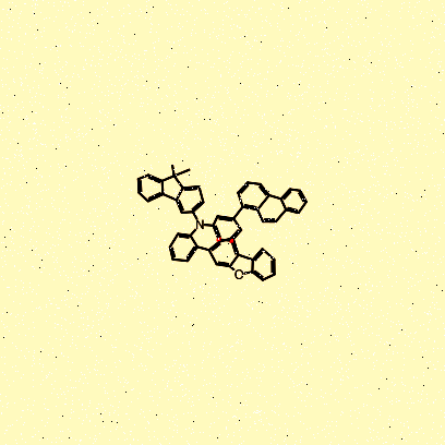 CC1(C)c2ccccc2-c2cc(N(c3cccc(-c4cccc5c4ccc4ccccc45)c3)c3ccccc3-c3ccc4c(c3)oc3ccccc34)ccc21